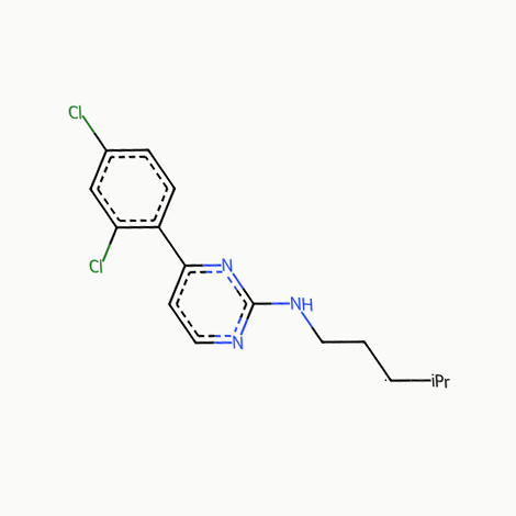 CC(C)[CH]CCNc1nccc(-c2ccc(Cl)cc2Cl)n1